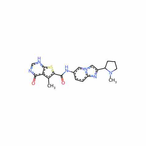 Cc1c(C(=O)Nc2ccc3nc(C4CCCN4C)cn3c2)sc2[nH]cnc(=O)c12